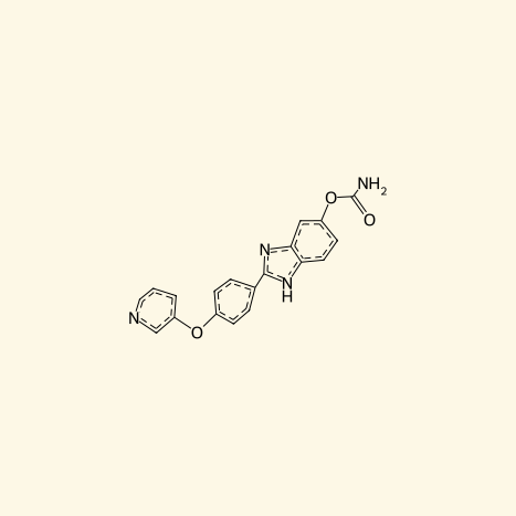 NC(=O)Oc1ccc2[nH]c(-c3ccc(Oc4cccnc4)cc3)nc2c1